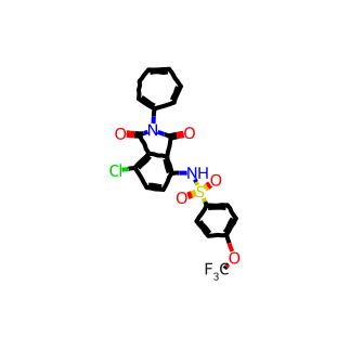 O=C1c2c(Cl)ccc(NS(=O)(=O)c3ccc(OC(F)(F)F)cc3)c2C(=O)N1C1=CCC=CC=C1